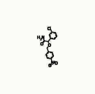 NC(=O)C(OCc1ccc([N+](=O)[O-])cc1)c1cccc(Cl)c1